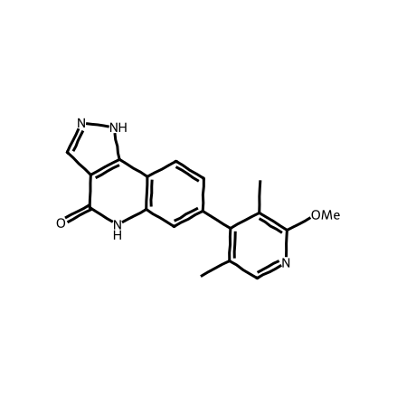 COc1ncc(C)c(-c2ccc3c(c2)[nH]c(=O)c2cn[nH]c23)c1C